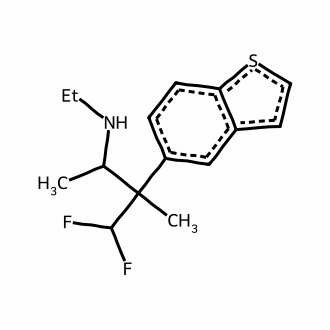 CCNC(C)C(C)(c1ccc2sccc2c1)C(F)F